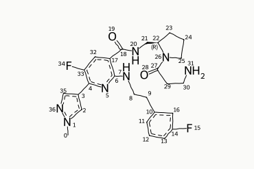 Cn1cc(-c2nc(NCCc3cccc(F)c3)c(C(=O)NC[C@H]3CCCN3C(=O)CCN)cc2F)cn1